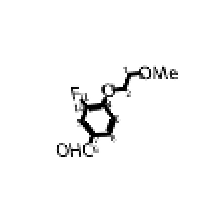 COCCOc1ccc(C=O)cc1F